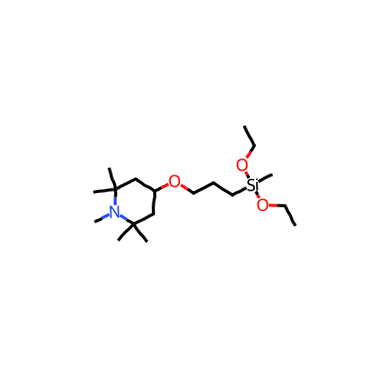 CCO[Si](C)(CCCOC1CC(C)(C)N(C)C(C)(C)C1)OCC